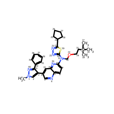 Cn1cc(-c2cnc3ccc(N(COCC[Si](C)(C)C)c4nnc(C5CCCC5)s4)nc3c2)c(-c2ccccc2)n1